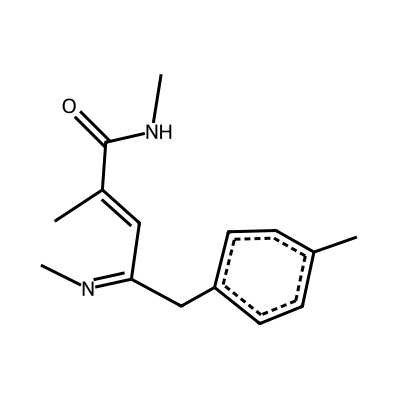 C/N=C(\C=C(/C)C(=O)NC)Cc1ccc(C)cc1